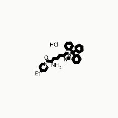 CCC1CCN(C(=O)C(N)CCCc2cn(C(c3ccccc3)(c3ccccc3)c3ccccc3)cn2)CC1.Cl